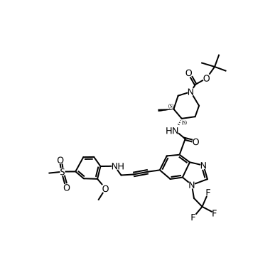 COc1cc(S(C)(=O)=O)ccc1NCC#Cc1cc(C(=O)N[C@H]2CCN(C(=O)OC(C)(C)C)C[C@@H]2C)c2ncn(CC(F)(F)F)c2c1